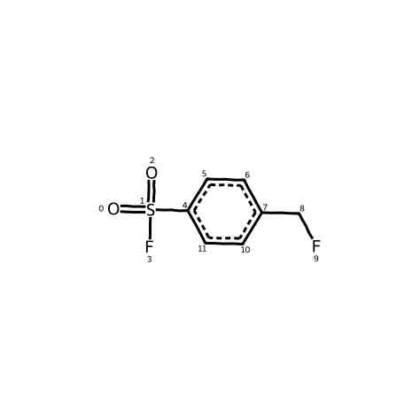 O=S(=O)(F)c1ccc(CF)cc1